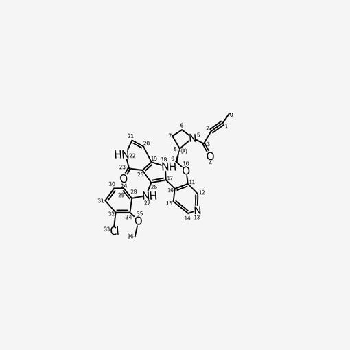 CC#CC(=O)N1CC[C@@H]1COc1cnccc1-c1[nH]c2cc[nH]c(=O)c2c1Nc1cccc(Cl)c1OC